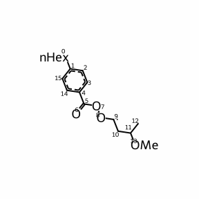 CCCCCCc1ccc(C(=O)OO[CH]CC(C)OC)cc1